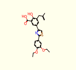 C=C(C)Cc1cc(-c2csc(-c3ccc(OCC)c(OCC)c3)n2)cc(C(=O)O)c1O